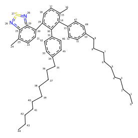 CCCCCCCCCCc1ccc(-c2c(C)ccc(-c3ccc(C)c4nsnc34)c2-c2ccc(CCCCCCCCCC)cc2)cc1